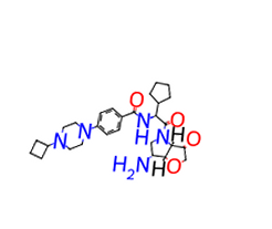 N[C@@H]1CN(C(=O)[C@@H](NC(=O)c2ccc(N3CCN(C4CCC4)CC3)cc2)C2CCCC2)[C@@H]2C(=O)CO[C@H]12